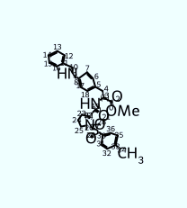 COC(=O)[C@H](Cc1ccc(NCc2ccccc2)cc1)NC(=O)[C@@H]1CCCN1S(=O)(=O)c1ccc(C)cc1